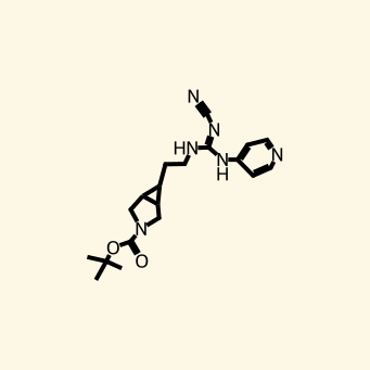 CC(C)(C)OC(=O)N1CC2C(CCN/C(=N\C#N)Nc3ccncc3)C2C1